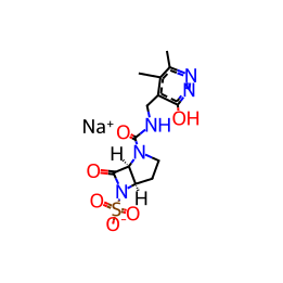 Cc1nnc(O)c(CNC(=O)N2CC[C@@H]3[C@H]2C(=O)N3S(=O)(=O)[O-])c1C.[Na+]